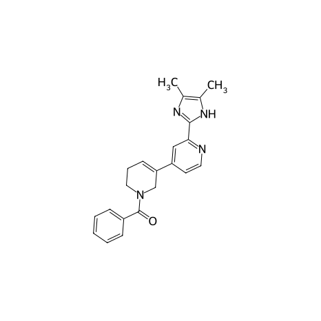 Cc1nc(-c2cc(C3=CCCN(C(=O)c4ccccc4)C3)ccn2)[nH]c1C